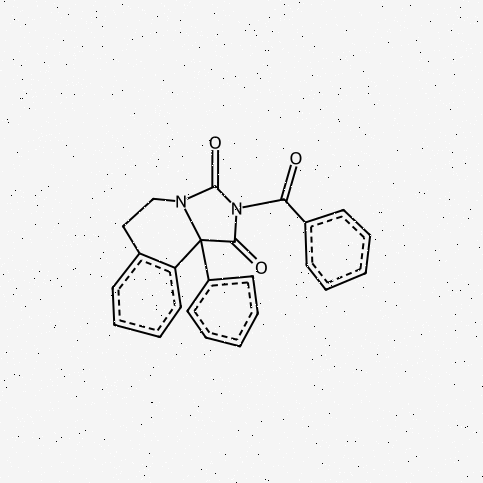 O=C(c1ccccc1)N1C(=O)N2CCc3ccccc3C2(c2ccccc2)C1=O